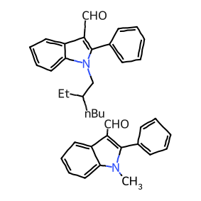 CCCCC(CC)Cn1c(-c2ccccc2)c(C=O)c2ccccc21.Cn1c(-c2ccccc2)c(C=O)c2ccccc21